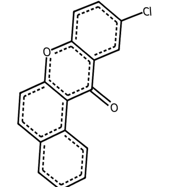 O=c1c2cc(Cl)ccc2oc2ccc3ccccc3c12